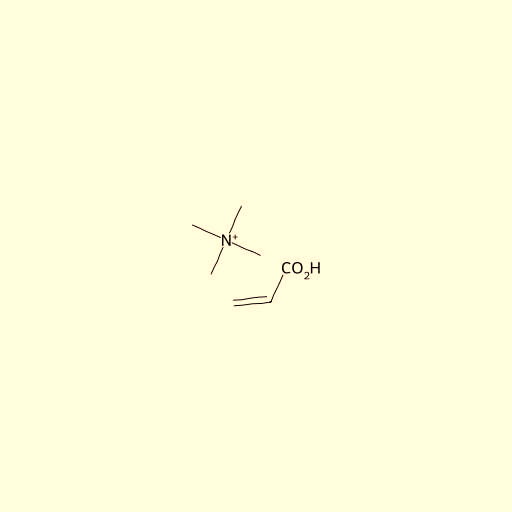 C=CC(=O)O.C[N+](C)(C)C